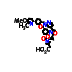 COc1ccc([C@H]2CC[C@H](CN(c3cc(-c4coc(C5CC5)n4)ccn3)C(=O)[C@H]3CC[C@H](OC(=O)N4CC(CC(=O)O)C4)CC3)CC2)nc1C